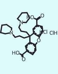 Cl.Cl.O=C(O)c1ccc2c(c1)C(CCCN1CCCCC1)(CCCN1CCCCC1)c1cc(C(=O)O)ccc1O2